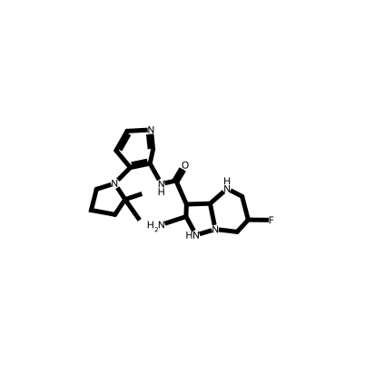 CC1(C)CCCN1c1ccncc1NC(=O)C1C(N)NN2CC(F)CNC12